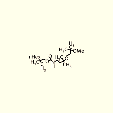 CCCCCCC(C)(C)COC(=O)NCCC(C)(C)OCCC(C)(C)OC